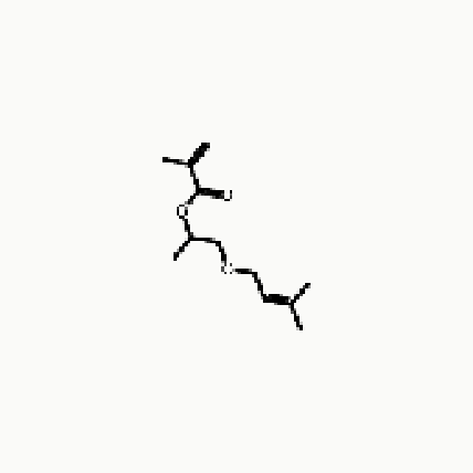 C=C(C)C(=O)OC(C)COCC=C(C)C